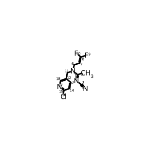 CC(=NC#N)N(CC=C(F)F)Cc1ccc(Cl)nc1